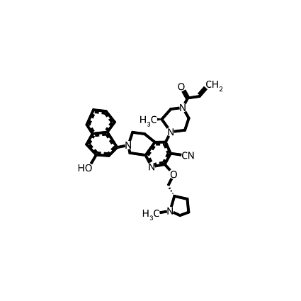 C=CC(=O)N1CCN(c2c(C#N)c(OC[C@@H]3CCCN3C)nc3c2CCN(c2cc(O)cc4ccccc24)C3)[C@@H](C)C1